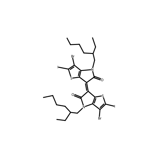 CCCCC(CC)CN1C(=O)C(=C2C(=O)N(CC(CC)CCCC)c3c2sc(I)c3Br)c2sc(I)c(Br)c21